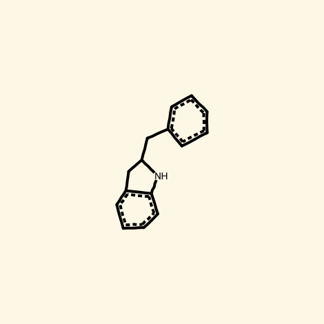 c1ccc(CC2Cc3ccccc3N2)cc1